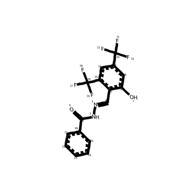 O=C(N/N=C/c1c(O)cc(C(F)(F)F)cc1C(F)(F)F)c1ccccc1